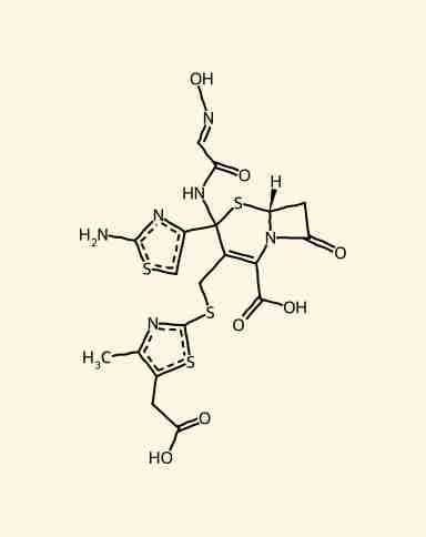 Cc1nc(SCC2=C(C(=O)O)N3C(=O)C[C@H]3SC2(NC(=O)/C=N/O)c2csc(N)n2)sc1CC(=O)O